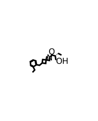 CCc1ccccc1CC1CC2(C1)CN(C(=O)[C@H](CC)CO)C2